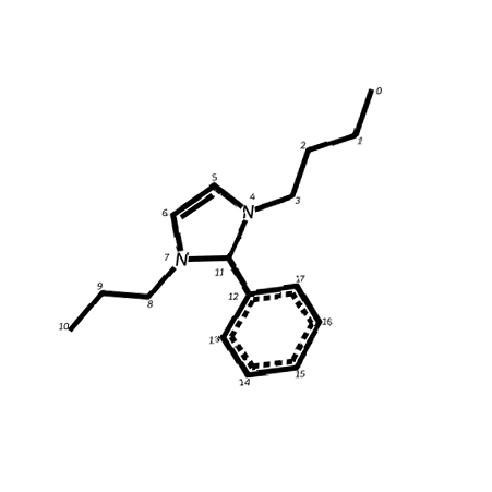 CCCCN1C=CN(CCC)C1c1ccccc1